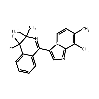 Cc1ccn2c(C3=NC(C)(C)C(F)(F)c4ccccc43)cnc2c1C